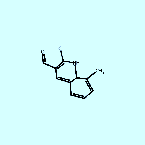 CC1=CC=CC2=CC(C=O)=C(Cl)NC12